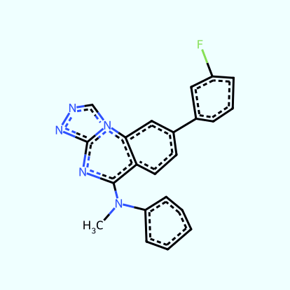 CN(c1ccccc1)c1nc2nncn2c2cc(-c3cccc(F)c3)ccc12